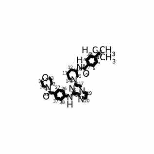 CC(C)(C)c1ccc(C(=O)NC2CCCN(c3cn4ccnc4c(Nc4ccc(C(=O)N5CCOCC5)cc4)n3)C2)cc1